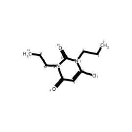 CCCn1c(Cl)cc(=O)n(CCC)c1=O